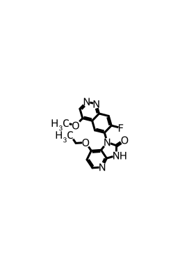 CCOc1ccnc2[nH]c(=O)n(-c3cc4c(OC)cnnc4cc3F)c12